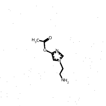 CC(=O)Oc1cn(CCN)cn1